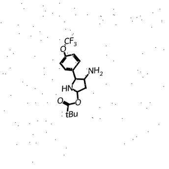 CC(C)(C)C(=O)OC1CC(N)C(c2ccc(OC(F)(F)F)cc2)N1